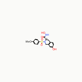 COc1ccc(S(=O)(=O)N2Cc3cc(O)ccc3C[C@@H]2C(=O)NO)cc1